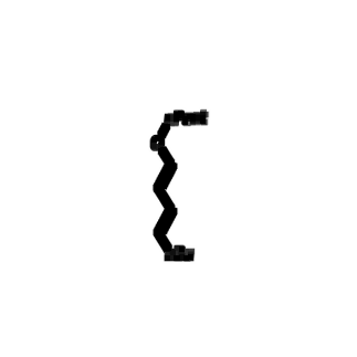 CCCCC=CC=COCCCCC